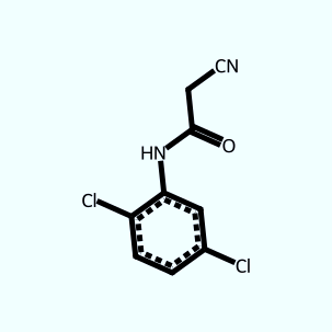 N#CCC(=O)Nc1cc(Cl)ccc1Cl